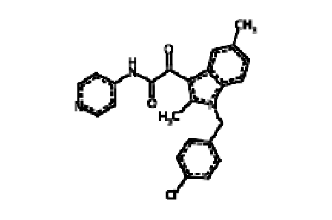 Cc1ccc2c(c1)c(C(=O)C(=O)Nc1ccncc1)c(C)n2Cc1ccc(Cl)cc1